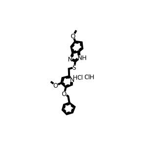 COc1ccc2[nH]c(SCc3cc(OC)c(OCc4ccccc4)cn3)nc2c1.Cl.Cl